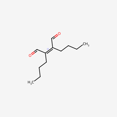 CCCC/C(C=O)=C(/C=O)CCCC